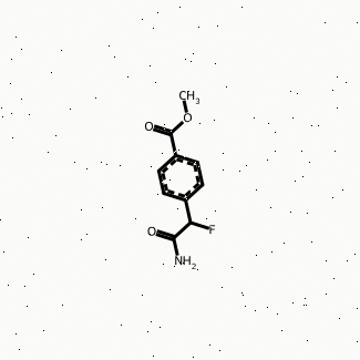 COC(=O)c1ccc(C(F)C(N)=O)cc1